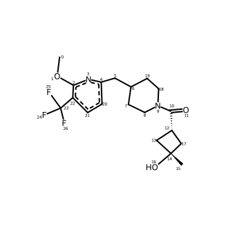 COc1nc(CC2CCN(C(=O)[C@H]3C[C@@](C)(O)C3)CC2)ccc1C(F)(F)F